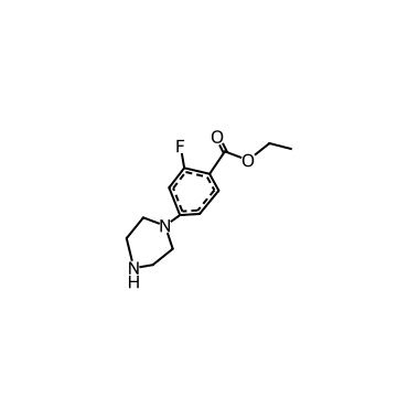 CCOC(=O)c1ccc(N2CCNCC2)cc1F